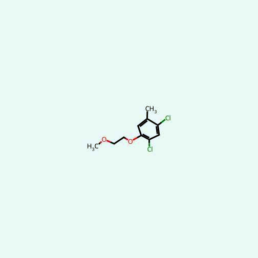 COCCOc1cc(C)c(Cl)cc1Cl